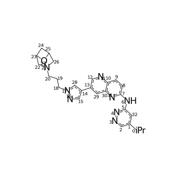 CC(C)c1cnnc(Nc2ccc3ncc(-c4cnn(CCCN5CC6CC(C5)O6)c4)cc3n2)c1